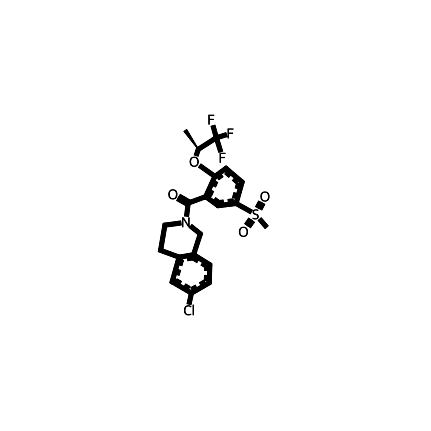 C[C@H](Oc1ccc(S(C)(=O)=O)cc1C(=O)N1CCc2cc(Cl)ccc2C1)C(F)(F)F